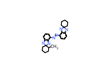 CC1CCCCC12N=c1cccc(N=Nc3cccc4c3=NC3(CCCCC3)N=4)c1=N2